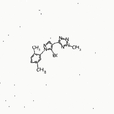 Cc1ccc(C)c(-n2ncc(-c3nnn(C)n3)c2Br)c1